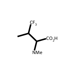 CNC(C(=O)O)C(C)C(F)(F)F